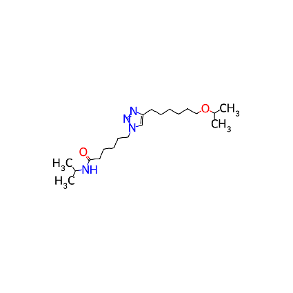 CC(C)NC(=O)CCCCCn1cc(CCCCCCOC(C)C)nn1